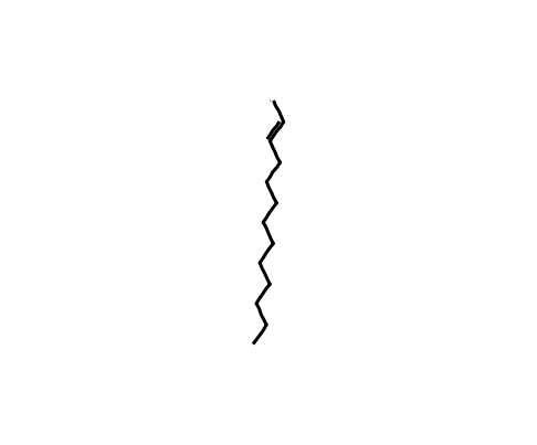 [CH2]C=CCCCCCCCCCC